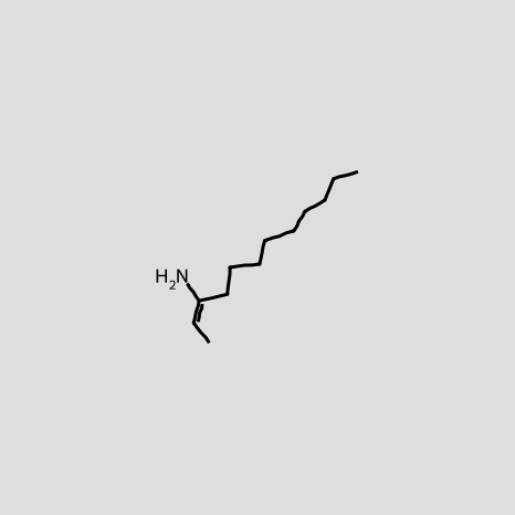 C/C=C(/N)CCCCCCCCC